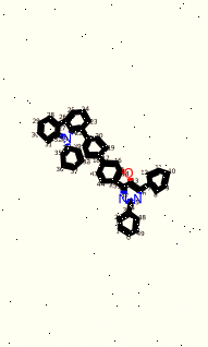 c1ccc(-c2nc(-c3ccccc3)c3oc4cc(-c5ccc(-c6cccc7c8ccccc8n(-c8ccccc8)c67)cc5)ccc4c3n2)cc1